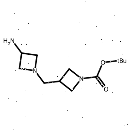 CC(C)(C)OC(=O)N1CC(CN2CC(N)C2)C1